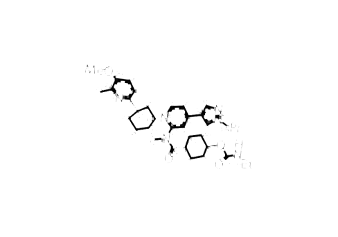 CCNC(=O)O[C@H]1CC[C@H](C(=O)N(C[C@H]2CC[C@H](c3ccc(OC)c(C)n3)CC2)c2cc(-c3cnn(C(C)C)c3)ccn2)CC1